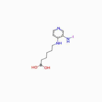 OB(O)CCCCCNc1ccncc1NI